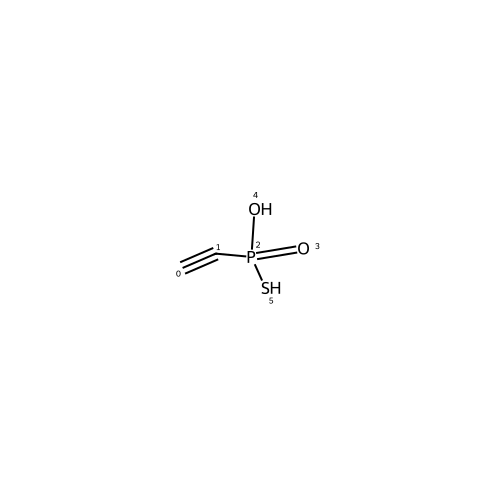 C#CP(=O)(O)S